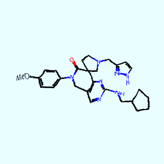 COc1ccc(N2Cc3cnc(NCC4CCCC4)nc3C3(CCN(Cc4cc[nH]n4)C3)C2=O)cc1